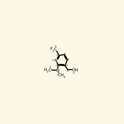 CN(C)c1nc(C(F)(F)F)ccc1CO